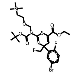 CCOC(=O)C1=CC(CF)(c2cc(Br)ccc2F)N=C(N(COCC[Si](C)(C)C)C(=O)OC(C)(C)C)S1